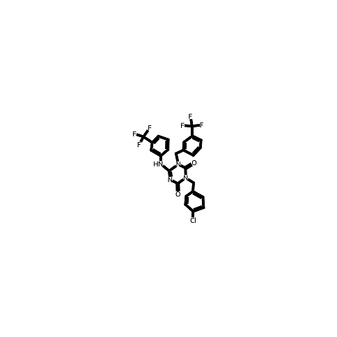 O=c1nc(Nc2cccc(C(F)(F)F)c2)n(Cc2cccc(C(F)(F)F)c2)c(=O)n1Cc1ccc(Cl)cc1